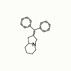 c1ccc(C(=C2CC3CCCCN3C2)c2ccccc2)cc1